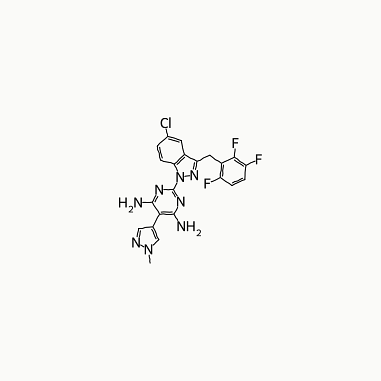 Cn1cc(-c2c(N)nc(-n3nc(Cc4c(F)ccc(F)c4F)c4cc(Cl)ccc43)nc2N)cn1